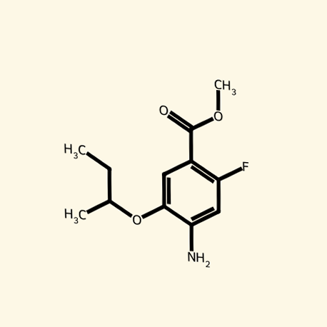 CCC(C)Oc1cc(C(=O)OC)c(F)cc1N